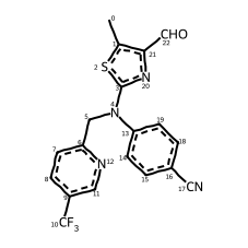 Cc1sc(N(Cc2ccc(C(F)(F)F)cn2)c2ccc(C#N)cc2)nc1C=O